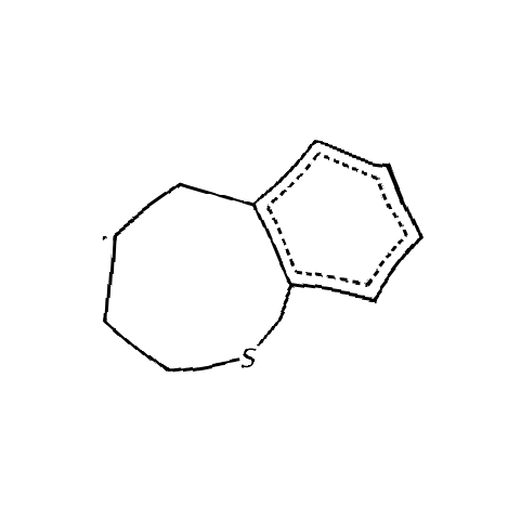 [CH]1CCSc2ccccc2C1